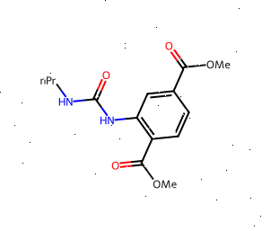 CCCNC(=O)Nc1cc(C(=O)OC)ccc1C(=O)OC